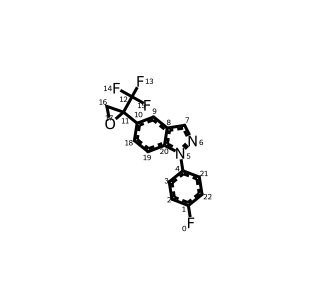 Fc1ccc(-n2ncc3cc(C4(C(F)(F)F)CO4)ccc32)cc1